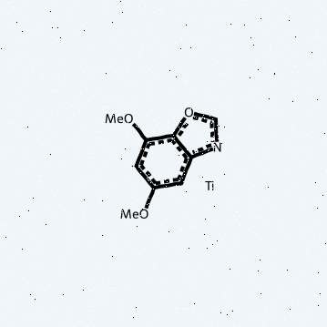 COc1[c]c(OC)c2ocnc2c1.[Ti]